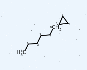 [CH2]CCCCC.[CH]1CC1